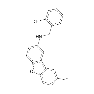 Fc1ccc2oc3ccc(NCc4ccccc4Cl)cc3c2c1